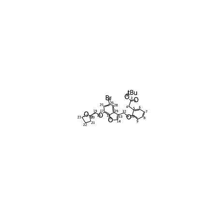 CC(C)(C)OC(=O)Cc1ccccc1OCc1coc2c(OC[C@H]3CCCO3)cc(Br)cc12